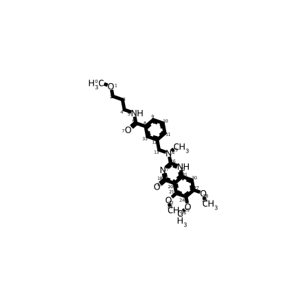 COCCCNC(=O)c1cccc(CN(C)c2nc(=O)c3c(OC)c(OC)c(OC)cc3[nH]2)c1